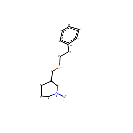 CC(C)N1CCCC(CSCCc2ccccc2)C1